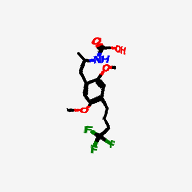 COc1cc(CC(C)NC(=O)O)c(OC)cc1CCCC(F)(F)F